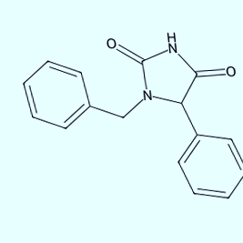 O=C1NC(=O)N(Cc2ccccc2)C1c1ccccc1